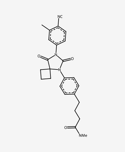 [C-]#[N+]c1ccc(N2C(=O)N(c3ccc(CCCC(=O)NC)cc3)C3(CCC3)C2=O)cc1C